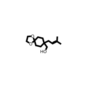 CC(C)=CCC1(CO)CCC2(CC1)OCCO2